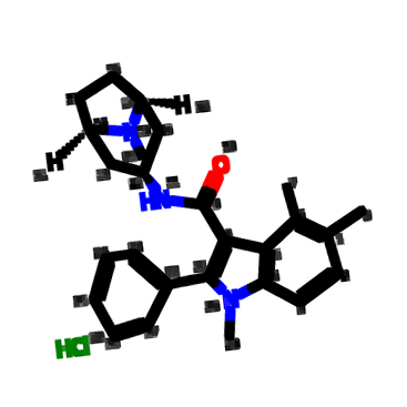 Cc1ccc2c(c1C)c(C(=O)N[C@H]1C[C@H]3CC[C@@H](C1)N3C)c(-c1ccccc1)n2C.Cl